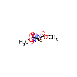 CCOC(=O)c1nc(C(N=O)(N=O)C(=O)OCC)cs1